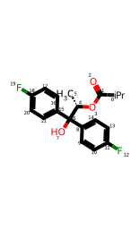 CC(C)C(=O)O[C@@H](C)C(O)(c1ccc(F)cc1)c1ccc(F)cc1